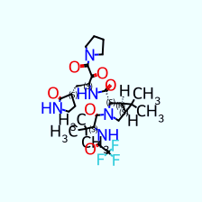 CC(C)(C)[C@H](NC(=O)C(F)(F)F)C(=O)N1C[C@H]2[C@@H]([C@H]1C(=O)N[C@@H](C[C@@H]1CCNC1=O)C(=O)C(=O)N1CCCC1)C2(C)C